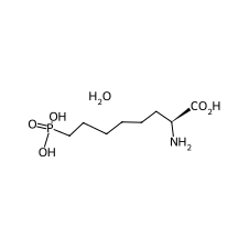 N[C@@H](CCCCCCP(=O)(O)O)C(=O)O.O